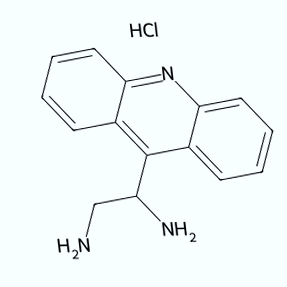 Cl.NCC(N)c1c2ccccc2nc2ccccc12